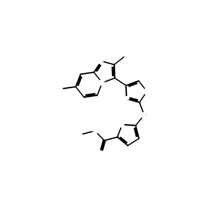 CNC(=O)c1ccc(Nc2nc(-c3c(C)nc4cc(C)ccn34)cs2)s1